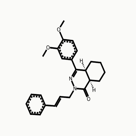 COc1ccc(C2=NN(C/C=C/c3ccccc3)C(=O)[C@@H]3CCCC[C@H]23)cc1OC